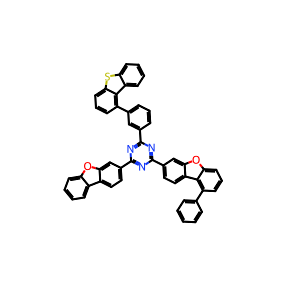 c1ccc(-c2cccc3oc4cc(-c5nc(-c6cccc(-c7cccc8sc9ccccc9c78)c6)nc(-c6ccc7c(c6)oc6ccccc67)n5)ccc4c23)cc1